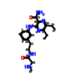 CCc1nc(Nc2cccc(CCNC(=O)CNC)c2)c(C(N)=O)nc1CC